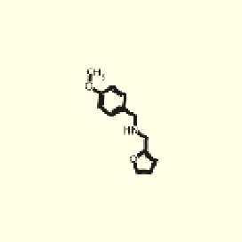 COc1ccc(CNCc2ccco2)cc1